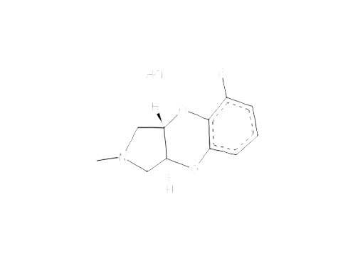 CN1C[C@@H]2Oc3cccc(F)c3O[C@H]2C1.Cl